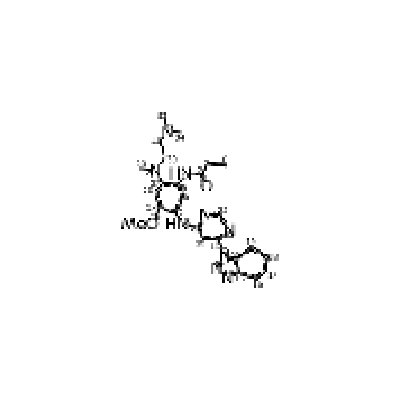 C=CC(=O)Nc1cc(Nc2cc(-n3nnc4ccccc43)ncn2)c(OC)cc1N(C)CCN(C)C